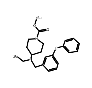 CC(C)(C)CN(Cc1cccc(Oc2ccccc2)c1)C1CCN(C(=O)OC(C)(C)C)CC1